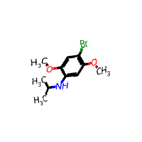 COc1cc(NC(C)C)c(OC)cc1Br